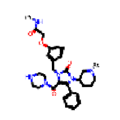 CC(=O)N1CCCC(n2c(-c3ccccc3)c(C(=O)N3CCNCC3)n(Cc3cccc(OCC(=O)NC(C)C)c3)c2=O)C1